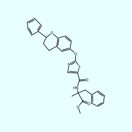 COC(=O)C(C)(Cc1ccccc1)NC(=O)c1cnc(Oc2ccc3c(c2)CCC(c2ccccc2)O3)s1